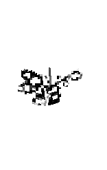 O=C(CN1CCOCC1)S[C@@H](Cc1ccccc1)C(=O)N[C@H]1Cc2ccccc2[C@H]2COC[C@@H](C(=O)O)N2C1=O